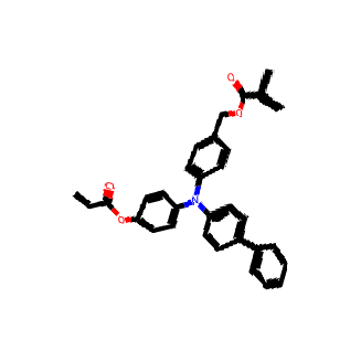 C=CC(=O)Oc1ccc(N(c2ccc(COC(=O)C(=C)C)cc2)c2ccc(-c3ccccc3)cc2)cc1